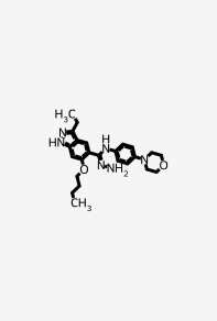 CCCCOc1cc2[nH]nc(CC)c2cc1/C(=N/N)Nc1ccc(N2CCOCC2)cc1